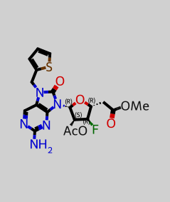 COC(=O)C[C@H]1O[C@@H](n2c(=O)n(Cc3cccs3)c3cnc(N)nc32)[C@H](OC(C)=O)[C@@H]1F